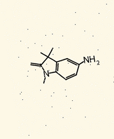 C=C1N(C)c2ccc(N)cc2C1(C)C